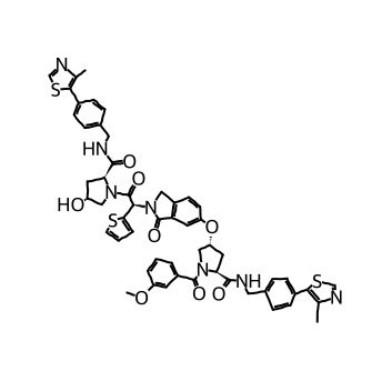 COc1cccc(C(=O)N2C[C@H](Oc3ccc4c(c3)C(=O)N([C@H](C(=O)N3C[C@H](O)C[C@H]3C(=O)NCc3ccc(-c5scnc5C)cc3)c3cccs3)C4)C[C@H]2C(=O)NCc2ccc(-c3scnc3C)cc2)c1